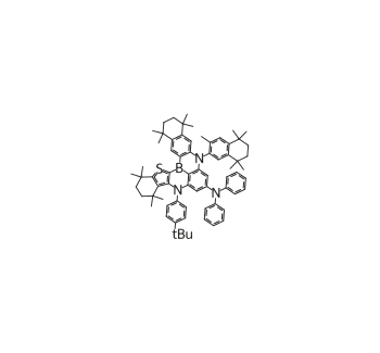 Cc1cc2c(cc1N1c3cc4c(cc3B3c5sc6c(c5N(c5ccc(C(C)(C)C)cc5)c5cc(N(c7ccccc7)c7ccccc7)cc1c53)C(C)(C)CCC6(C)C)C(C)(C)CCC4(C)C)C(C)(C)CCC2(C)C